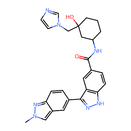 Cn1cc2cc(-c3n[nH]c4ccc(C(=O)NC5CCCC(O)(Cn6ccnc6)C5)cc34)ccc2n1